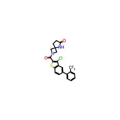 O=C1CCC2(CN(C(=O)c3sc4ccc(-c5ccccc5C(F)(F)F)cc4c3Cl)C2)N1